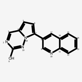 Oc1ncc2ccc(-c3cnc4ccccc4c3)n2n1